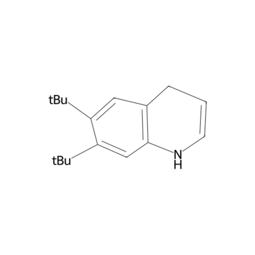 CC(C)(C)c1cc2c(cc1C(C)(C)C)NC=CC2